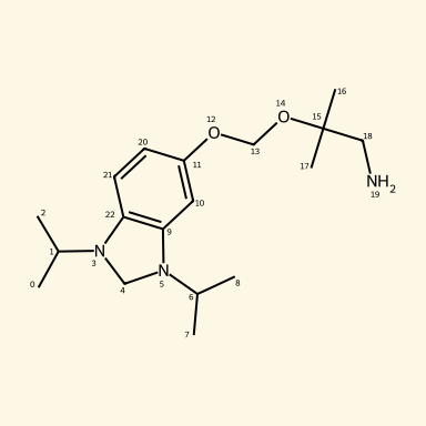 CC(C)N1CN(C(C)C)c2cc(OCOC(C)(C)CN)ccc21